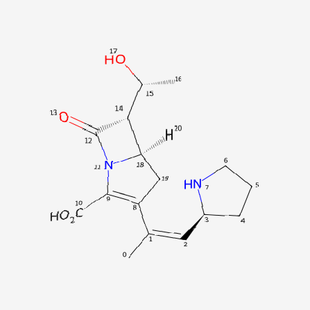 C/C(=C/[C@@H]1CCCN1)C1=C(C(=O)O)N2C(=O)[C@H]([C@@H](C)O)[C@H]2C1